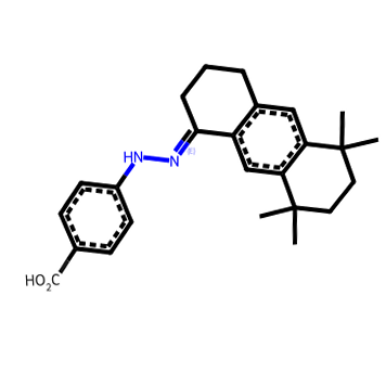 CC1(C)CCC(C)(C)c2cc3c(cc21)CCC/C3=N\Nc1ccc(C(=O)O)cc1